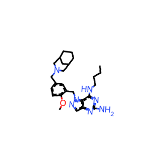 CCCCNc1nc(N)nc2cnn(Cc3cc(CN4CC5CCCC(C5)C4)ccc3OC)c12